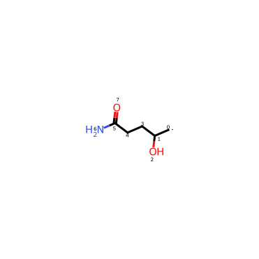 [CH2]C(O)CCC(N)=O